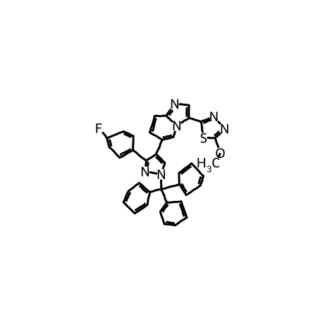 COc1nnc(-c2cnc3ccc(-c4cn(C(c5ccccc5)(c5ccccc5)c5ccccc5)nc4-c4ccc(F)cc4)cn23)s1